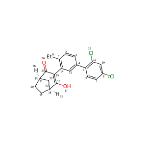 CCc1ccc(-c2ccc(Cl)cc2Cl)cc1C1=C(O)[C@H]2CC[C@H](C2)C1=O